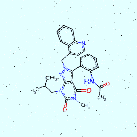 CC(=O)Nc1ccccc1-c1c2c(=O)n(C)c(=O)n(CC(C)C)c2nn1Cc1ccnc2ccccc12